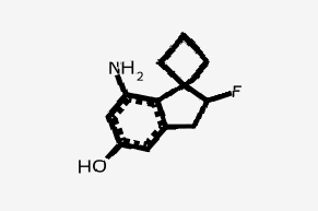 Nc1cc(O)cc2c1C1(CCC1)C(F)C2